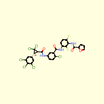 O=C(Nc1c(F)ccc(NC(=O)c2cc(NC(=O)C3[C@H](c4cc(Cl)c(Cl)c(Cl)c4)C3(Cl)Cl)ccc2Cl)c1F)c1ccco1